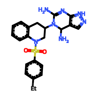 CCc1ccc(S(=O)(=O)N2CC(N3C(N)=Nc4[nH]ncc4C3N)Cc3ccccc32)cc1